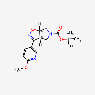 COc1ccc(C2=NO[C@@H]3CN(C(=O)OC(C)(C)C)C[C@H]23)cn1